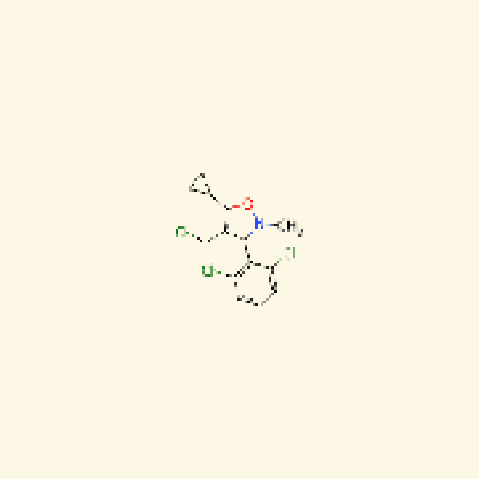 CN1OC(C2CC2)=C(CCl)C1c1c(Cl)cccc1Cl